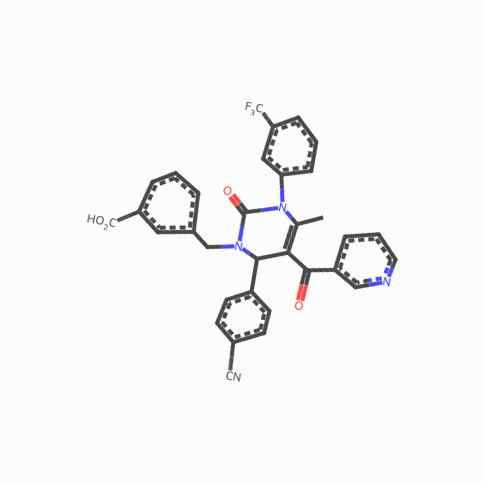 CC1=C(C(=O)c2cccnc2)C(c2ccc(C#N)cc2)N(Cc2cccc(C(=O)O)c2)C(=O)N1c1cccc(C(F)(F)F)c1